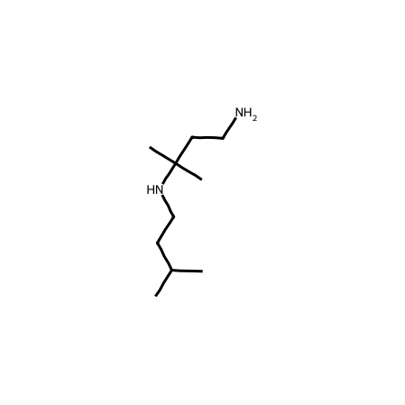 CC(C)CCNC(C)(C)CCN